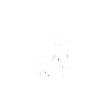 CC(C)(N)C(=O)NC(=O)c1ccccc1